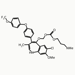 CNCCCOC(=O)OCOC1=C(c2ccc(Oc3ccc(OC(F)(F)F)cc3)cc2)C(C)=CNc2cc(OC)c(Cl)cc21